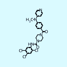 CN(c1ccncc1)c1ccc(C(=O)N2CCN(C(=O)Nc3cc(Cl)c(Cl)cc3Cl)CC2)cc1